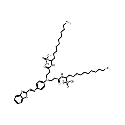 CCCCCCCCCCCC(NC(=O)CCN(CCC(=O)NC(CCCCCCCCCCC)P(=O)(O)O)c1ccc(/N=N/c2nc3ccccc3s2)cc1)P(=O)(O)O